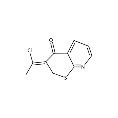 C/C(Cl)=C1\CSc2ncccc2C1=O